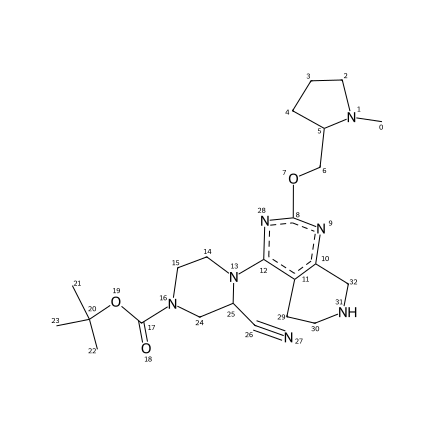 CN1CCCC1COc1nc2c(c(N3CCN(C(=O)OC(C)(C)C)CC3C#N)n1)CCNC2